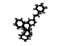 C(=C\c1ccc2c(c1)c1ccccc1n1c3ccccc3nc21)/c1ccccc1